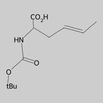 CC=CCC(NC(=O)OC(C)(C)C)C(=O)O